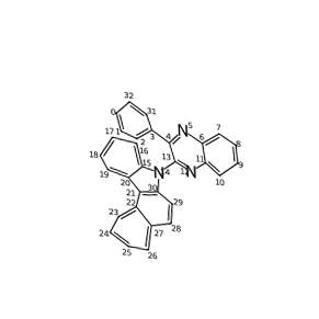 c1ccc(-c2nc3ccccc3nc2-n2c3ccccc3c3c4ccccc4ccc32)cc1